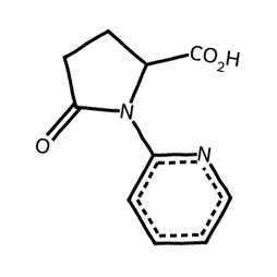 O=C(O)C1CCC(=O)N1c1ccccn1